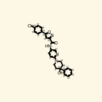 O=C(Nc1ccc(N2CCC(O)(c3ccccc3)CC2)nc1)c1cc(-c2ccc(Cl)cc2)on1